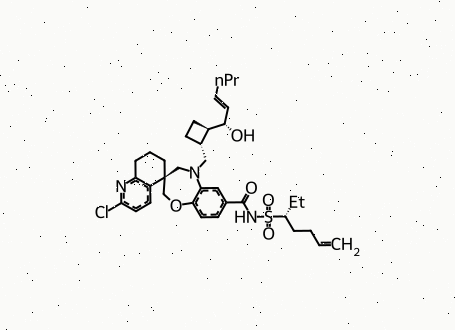 C=CCC[C@@H](CC)S(=O)(=O)NC(=O)c1ccc2c(c1)N(C[C@@H]1CC[C@H]1[C@@H](O)/C=C/CCC)C[C@@]1(CCCc3nc(Cl)ccc31)CO2